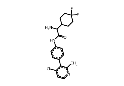 Cc1nccc(Cl)c1-c1ccc(NC(=O)C(N)C2CCC(F)(F)CC2)cc1